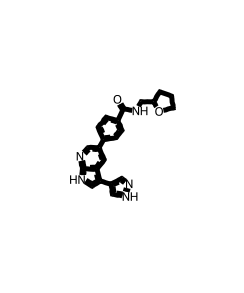 O=C(NCC1CCCO1)c1ccc(-c2cnc3[nH]cc(-c4cn[nH]c4)c3c2)cc1